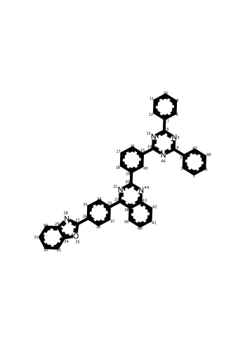 c1ccc(-c2nc(-c3ccccc3)nc(-c3cccc(-c4nc(-c5ccc(-c6nc7ccccc7o6)cc5)c5ccccc5n4)c3)n2)cc1